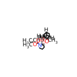 CC(C)(C)OC(=O)N1CCC[C@H]1B1O[C@@H]2C[C@@H]3C[C@@H](C3(C)C)[C@]2(C)O1